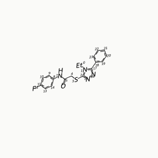 CCn1c(SCC(=O)Nc2ccc(F)cc2)nnc1-c1ccccc1